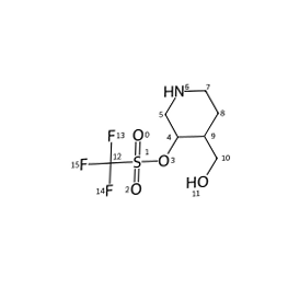 O=S(=O)(OC1CNCCC1CO)C(F)(F)F